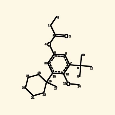 CCC(=O)Oc1cc(C(C)(C)C)c(OC)c(C2(C)CCCCC2)c1